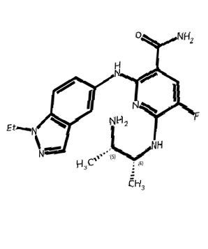 CCn1ncc2cc(Nc3nc(N[C@H](C)[C@H](C)N)c(F)cc3C(N)=O)ccc21